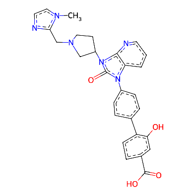 Cn1ccnc1CN1CCC(n2c(=O)n(-c3ccc(-c4ccc(C(=O)O)cc4O)cc3)c3cccnc32)C1